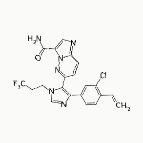 C=Cc1ccc(-c2ncn(CCC(F)(F)F)c2-c2ccc3ncc(C(N)=O)n3n2)cc1Cl